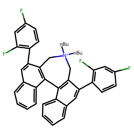 CCCC[N+]1(CCCC)Cc2c(-c3ccc(F)cc3F)cc3ccccc3c2-c2c(c(-c3ccc(F)cc3F)cc3ccccc23)C1